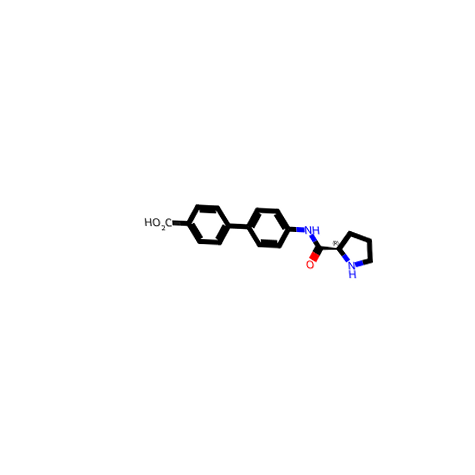 O=C(O)c1ccc(-c2ccc(NC(=O)[C@H]3CCCN3)cc2)cc1